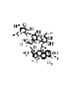 CC[C@@]12CCC([C@H](C)CC[C@@H](O[C@@H]3O[C@H](CO[C@@H]4O[C@H](CO)[C@@H](O)[C@H](O)[C@H]4O)[C@@H](O)[C@H](O)[C@H]3O[C@@H]3OC(CO)[C@@H](O)[C@H](O)[C@H]3O)C(C)(C)O)[C@@]1(C)C[C@@H](O)[C@@]1(C)C3CC[C@H](O)C(C)(C)C3=CCC12